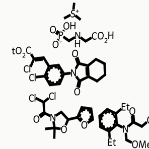 CC1(C)OC(c2ccco2)CN1C(=O)C(Cl)Cl.CCOC(=O)/C(Cl)=C/c1cc(N2C(=O)C3=C(CCCC3)C2=O)ccc1Cl.CCc1cccc(CC)c1N(COC)C(=O)CCl.C[S+](C)C.O=C(O)CNCP(=O)([O-])O